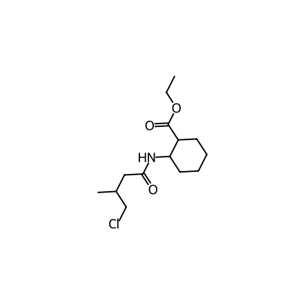 CCOC(=O)C1CCCCC1NC(=O)CC(C)CCl